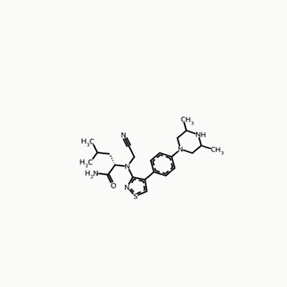 CC(C)C[C@@H](C(N)=O)N(CC#N)c1nscc1-c1ccc(N2CC(C)NC(C)C2)cc1